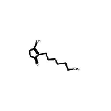 O=C(O)CCCC=CCC1=C(O)CCC1=O